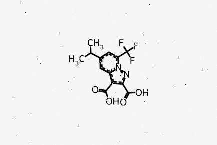 CC(C)c1cc(C(F)(F)F)n2nc(C(=O)O)c(C(=O)O)c2c1